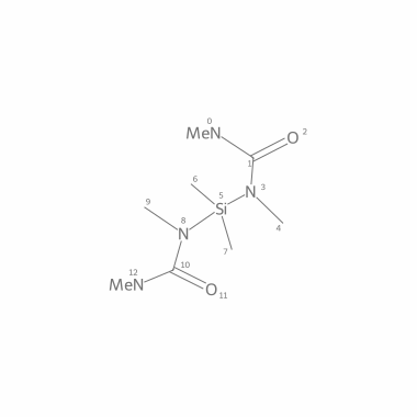 CNC(=O)N(C)[Si](C)(C)N(C)C(=O)NC